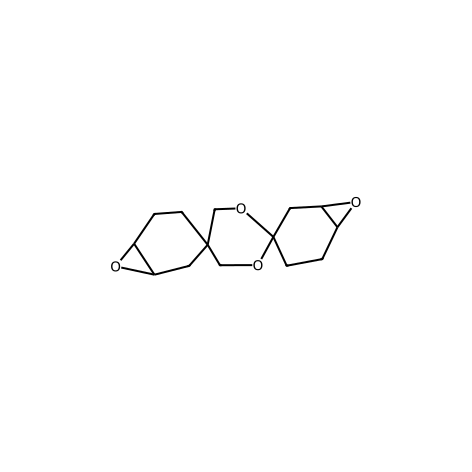 C1CC2(COC3(CCC4OC4C3)OC2)CC2OC12